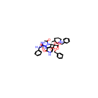 CC(=O)N(NC(=N)N)[C@](CC1CCCNC1)(c1cc[nH]c(=O)c1NS(=O)(=O)Cc1ccccc1)C(O)(C(=O)OCc1ccccc1)C(=O)OCc1ccccc1